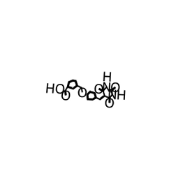 O=C1NC(=O)C(=Cc2ccc(OCc3cccc(C(=O)O)c3)cc2)C(=O)N1